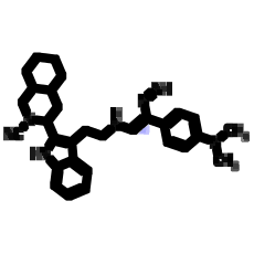 CN(C)c1ccc(/C(=C/NCCc2c(C3CC4CCCCC4CN3C#N)[nH]c3ccccc23)N=N)cc1